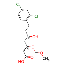 COCO[C@@H](CC(=O)O)C[C@H](O)CCc1ccc(Cl)cc1Cl